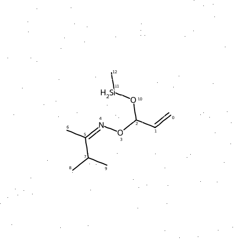 C=CC(ON=C(C)C(C)C)O[SiH2]C